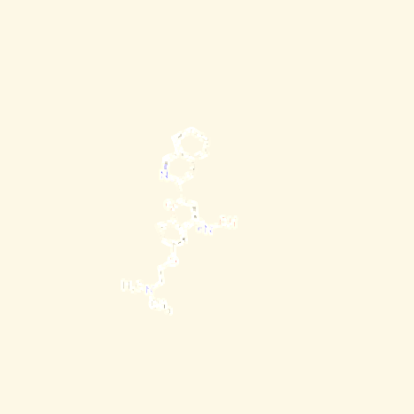 CN(C)CCOc1ccc2oc(-c3cc4ccccc4cn3)c/c(=N\O)c2c1